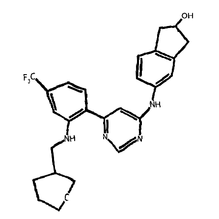 OC1Cc2ccc(Nc3cc(-c4ccc(C(F)(F)F)cc4NCC4CCCCC4)ncn3)cc2C1